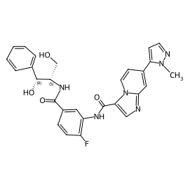 Cn1nccc1-c1ccn2c(C(=O)Nc3cc(C(=O)N[C@@H](CO)[C@H](O)c4ccccc4)ccc3F)cnc2c1